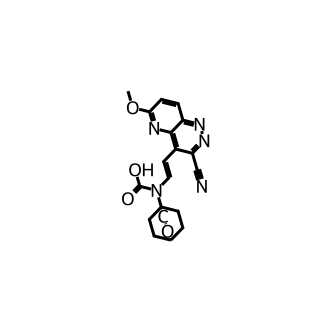 COc1ccc2nnc(C#N)c(/C=C/N(C(=O)O)C34CCC(CC3)OC4)c2n1